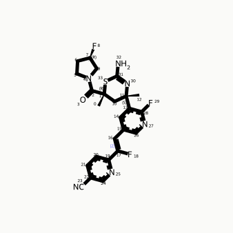 C[C@]1(C(=O)N2CC[C@@H](F)C2)C[C@@](C)(c2cc(/C=C(\F)c3ccc(C#N)cn3)cnc2F)N=C(N)S1